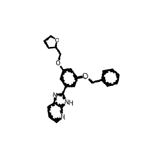 c1ccc(COc2cc(OCC3CCCO3)cc(-c3nc4cccnc4[nH]3)c2)cc1